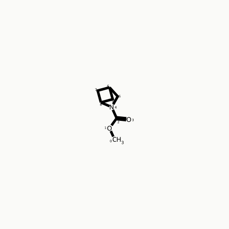 COC(=O)N1CC2CC1C2